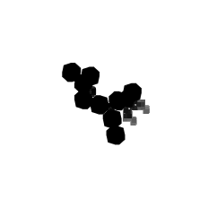 CC1(C)c2ccccc2-c2ccc(N(c3ccc(-c4ccccc4)cc3)c3ccc(-c4cccc5c4oc4c6ccccc6c(-c6ccccc6)cc54)cc3)cc21